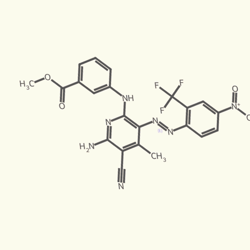 COC(=O)c1cccc(Nc2nc(N)c(C#N)c(C)c2/N=N/c2ccc([N+](=O)[O-])cc2C(F)(F)F)c1